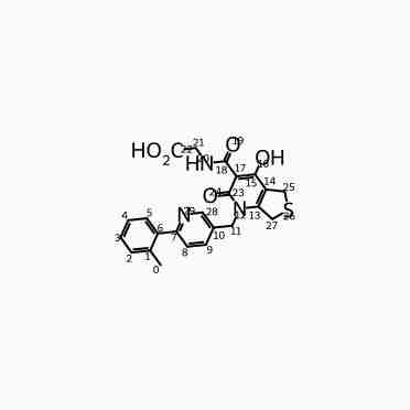 Cc1ccccc1-c1ccc(Cn2c3c(c(O)c(C(=O)NCC(=O)O)c2=O)CSC3)cn1